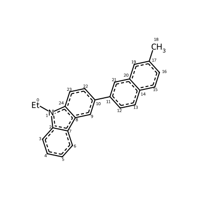 CCn1c2ccccc2c2cc(-c3ccc4ccc(C)cc4c3)ccc21